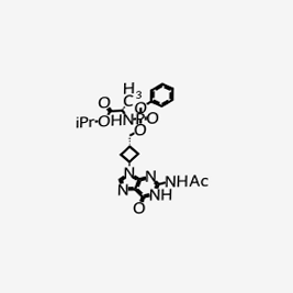 CC(=O)Nc1nc2c(ncn2[C@H]2C[C@@H](COP(=O)(N[C@@H](C)C(=O)OC(C)C)Oc3ccccc3)C2)c(=O)[nH]1